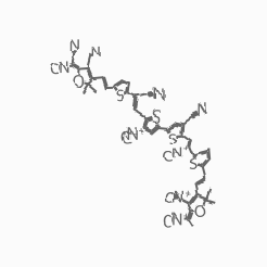 [C-]#[N+]C1=C(/C=C/c2ccc(/C(=C/c3sc(-c4cc([N+]#[C-])c(/C=C(\C#N)c5ccc(/C=C/C6=C(C#N)C(=C(\C#N)[N+]#[C-])/OC6(C)C)s5)s4)cc3C#N)[N+]#[C-])s2)C(C)(C)O/C1=C(\C)[N+]#[C-]